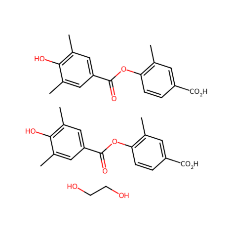 Cc1cc(C(=O)O)ccc1OC(=O)c1cc(C)c(O)c(C)c1.Cc1cc(C(=O)O)ccc1OC(=O)c1cc(C)c(O)c(C)c1.OCCO